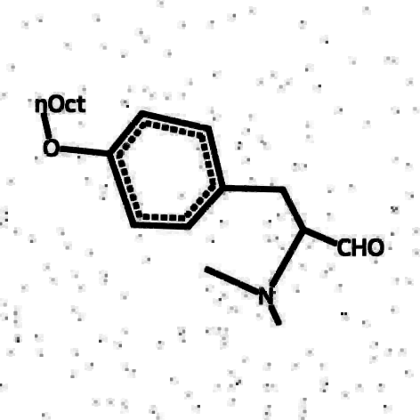 CCCCCCCCOc1ccc(CC(C=O)N(C)C)cc1